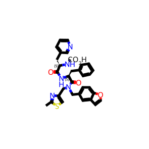 Cc1nc(CN(Cc2ccc3occc3c2)C(=O)[C@H](Cc2ccccc2)NC(=O)[C@H](Cc2cccnc2)NC(=O)O)cs1